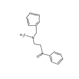 CN(CCC(=O)c1ccccc1)Cc1ccccc1